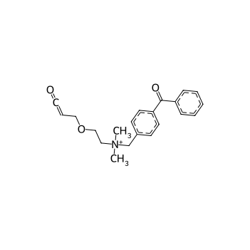 C[N+](C)(CCOCC=C=O)Cc1ccc(C(=O)c2ccccc2)cc1